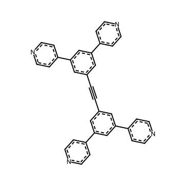 C(#Cc1cc(-c2ccncc2)cc(-c2ccncc2)c1)c1cc(-c2ccncc2)cc(-c2ccncc2)c1